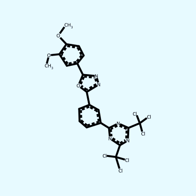 COc1ccc(-c2nnc(-c3cccc(-c4nc(C(Cl)(Cl)Cl)nc(C(Cl)(Cl)Cl)n4)c3)o2)cc1OC